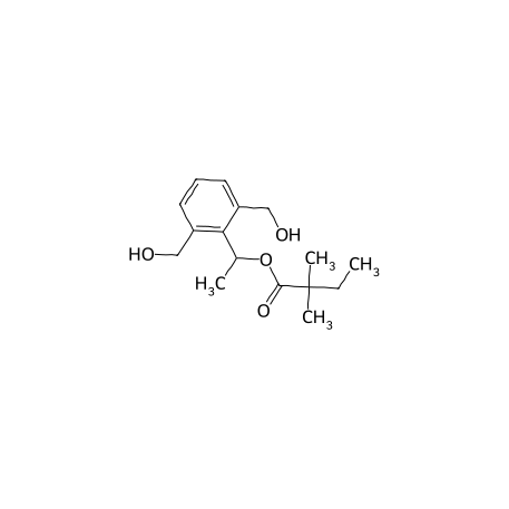 CCC(C)(C)C(=O)OC(C)c1c(CO)cccc1CO